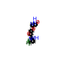 O=C1CCc2c(Oc3ccc4c(c3)CC(c3nc5c(C(F)(F)F)cccc5[nH]3)CO4)ccnc2N1